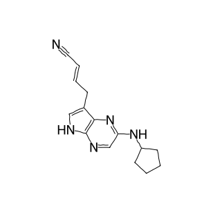 N#CC=CCc1c[nH]c2ncc(NC3CCCC3)nc12